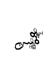 Cl.O=C(CCCCN1CCCCCC1)Nc1cccc(-c2n[nH]c(=O)c3ccccc23)c1